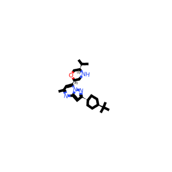 Cc1cc([C@H]2CN[C@@H](C(C)C)CO2)n2nc([C@H]3CC[C@H](C(C)(C)C)CC3)cc2n1